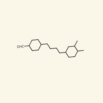 CC1CCC(CCCCC2CCC(C=O)CC2)CC1C